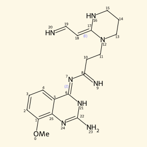 COc1cccc2/c(=N/C(=N)CCN3CCCN/C3=C\C=N)[nH]c(N)nc12